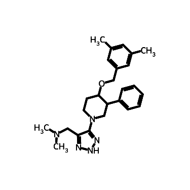 Cc1cc(C)cc(COC2CCN(c3n[nH]nc3CN(C)C)CC2c2ccccc2)c1